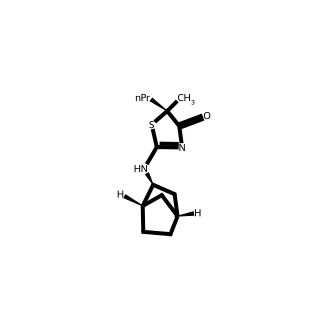 CCC[C@]1(C)SC(N[C@H]2C[C@@H]3CC[C@H]2C3)=NC1=O